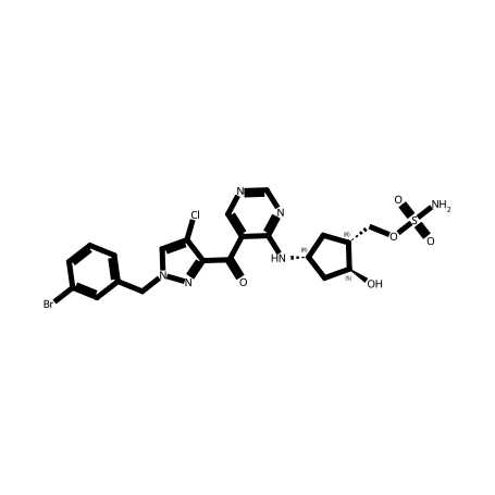 NS(=O)(=O)OC[C@H]1C[C@@H](Nc2ncncc2C(=O)c2nn(Cc3cccc(Br)c3)cc2Cl)C[C@@H]1O